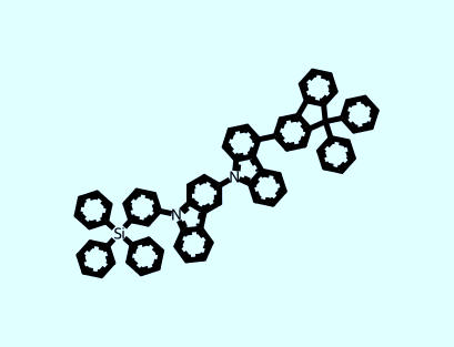 c1ccc(C2(c3ccccc3)c3ccccc3-c3cc(-c4cccc5c4c4ccccc4n5-c4ccc5c(c4)c4ccccc4n5-c4cccc([Si](c5ccccc5)(c5ccccc5)c5ccccc5)c4)ccc32)cc1